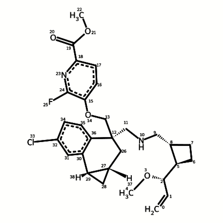 C=C[C@H](OC)[C@@H]1CC[C@H]1CNC[C@]1(COc2ccc(C(=O)OC)nc2F)C[C@@H]2C[C@@H]2c2cc(Cl)ccc21